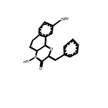 CCCN1C(=O)C(Cc2ccccc2)OC2c3cc(OC)ccc3CCC21